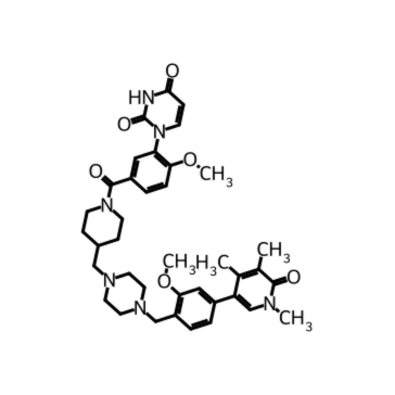 COc1cc(-c2cn(C)c(=O)c(C)c2C)ccc1CN1CCN(CC2CCN(C(=O)c3ccc(OC)c(-n4ccc(=O)[nH]c4=O)c3)CC2)CC1